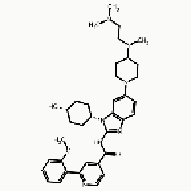 COc1ccccc1-c1cc(C(=O)Nc2nc3ccc(N4CCC(N(C)CCN(C)C)CC4)cc3n2[C@H]2CC[C@@H](O)CC2)ccn1